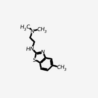 Cc1ccc2sc(NCCN(C)C)nc2c1